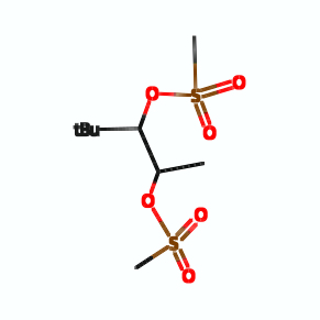 CC(OS(C)(=O)=O)C(OS(C)(=O)=O)C(C)(C)C